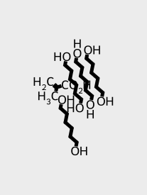 C=C(C)C(=O)O.OCCCCCCO.OCCCCCCO.OCCCCCCO.OCCCCCCO